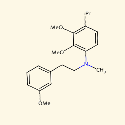 COc1cccc(CCN(C)c2ccc(C(C)C)c(OC)c2OC)c1